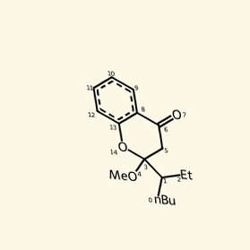 CCCCC(CC)C1(OC)CC(=O)c2ccccc2O1